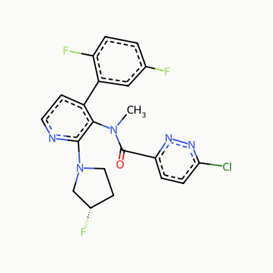 CN(C(=O)c1ccc(Cl)nn1)c1c(-c2cc(F)ccc2F)ccnc1N1CC[C@H](F)C1